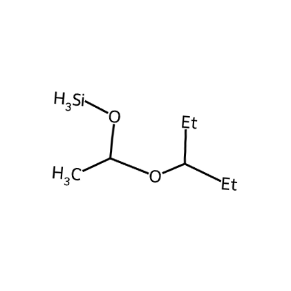 CCC(CC)OC(C)O[SiH3]